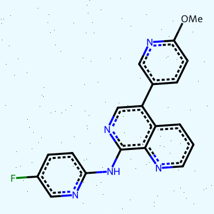 COc1ccc(-c2cnc(Nc3ccc(F)cn3)c3ncccc23)cn1